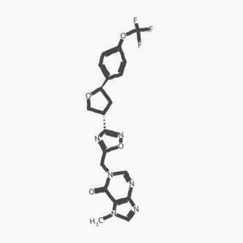 Cn1cnc2ncn(Cc3nc([C@@H]4CO[C@@H](c5ccc(OC(F)(F)F)cc5)C4)no3)c(=O)c21